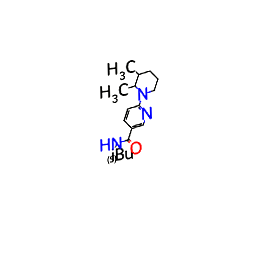 CC[C@H](C)NC(=O)c1ccc(N2CCCC(C)C2C)nc1